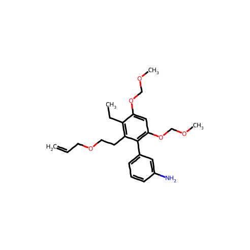 C=CCOCCc1c(CC)c(OCOC)cc(OCOC)c1-c1cccc(N)c1